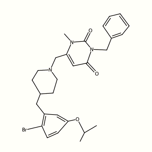 CC(C)Oc1ccc(Br)c(CC2CCN(Cc3cc(=O)n(Cc4ccccc4)c(=O)n3C)CC2)c1